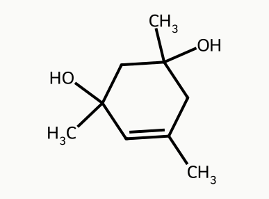 CC1=CC(C)(O)CC(C)(O)C1